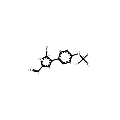 O=Cc1cc(-c2ccc(OC(F)(F)F)cc2)c(F)s1